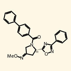 CON=C1C[C@@H](c2nc(-c3ccccc3)no2)N(C(=O)c2ccc(-c3ccccc3)cc2)C1